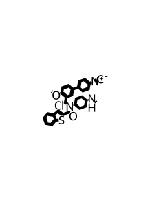 [C-]#[N+]c1ccc(-c2ccc(OC)c(CN(C(=O)c3sc4ccccc4c3Cl)[C@H]3CC[C@H](NC)CC3)c2)cc1